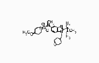 COC1CCN(S(=O)(=O)N(C)c2ccc3c(c2)nc(C(C)(C)C)n3CC2CCOCC2)CC1